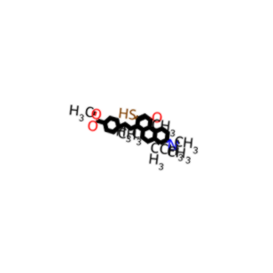 COC(=O)C1CCC(C)(CCC2C(S)=CC(=O)C3C2(C)CCC2C(C)(C)C(N(C)C)CC[C@@]23C)CC1